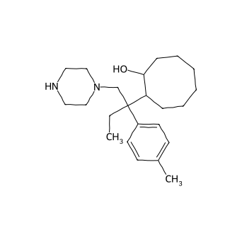 CCC(CN1CCNCC1)(c1ccc(C)cc1)C1CCCCCCC1O